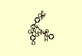 COc1ccc(C(=O)/N=c2\scc(-c3ccc(OC(F)(F)F)cc3)n2CCCNC(=O)Nc2ccccc2)c(OC)c1